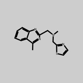 Cc1nc(CN(C)Cc2nccs2)nc2ccccc12